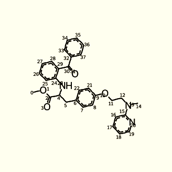 COC(=O)C(Cc1ccc(OCCN(C)c2ccccn2)cc1)Nc1ccccc1C(=O)c1ccccc1